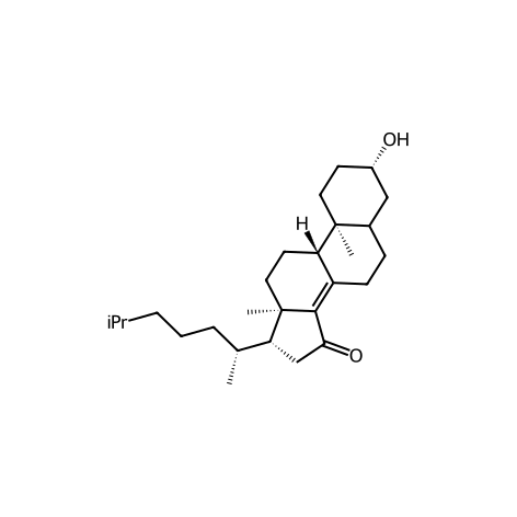 CC(C)CCC[C@@H](C)[C@H]1CC(=O)C2=C3CCC4C[C@@H](O)CC[C@]4(C)[C@H]3CC[C@@]21C